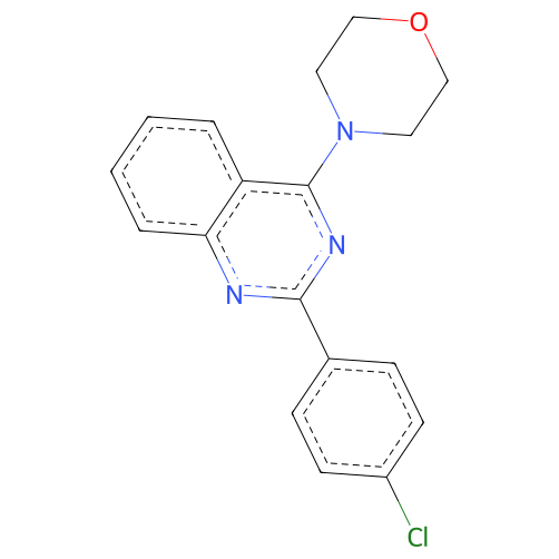 Clc1ccc(-c2nc(N3CCOCC3)c3ccccc3n2)cc1